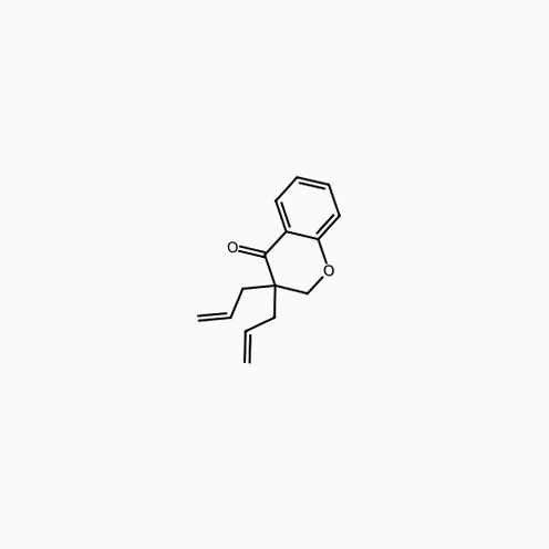 C=CCC1(CC=C)COc2ccccc2C1=O